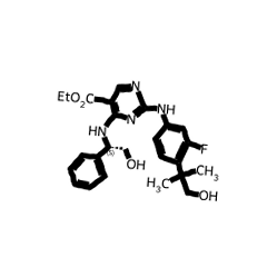 CCOC(=O)c1cnc(Nc2ccc(C(C)(C)CO)c(F)c2)nc1N[C@H](CO)c1ccccc1